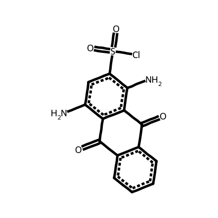 Nc1cc(S(=O)(=O)Cl)c(N)c2c1C(=O)c1ccccc1C2=O